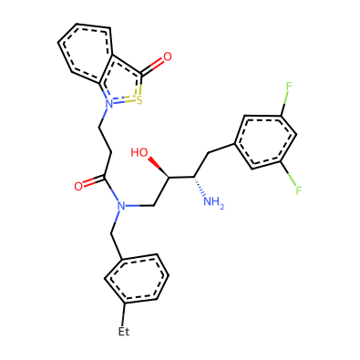 CCc1cccc(CN(C[C@@H](O)[C@@H](N)Cc2cc(F)cc(F)c2)C(=O)CCn2sc(=O)c3ccccc32)c1